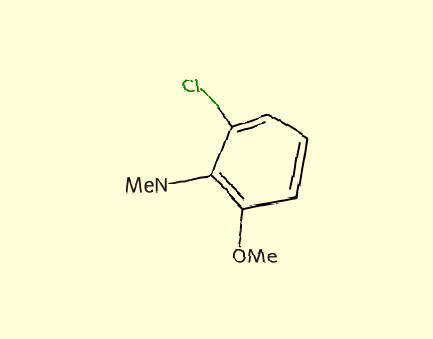 CNc1c(Cl)cccc1OC